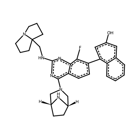 Oc1cc(-c2ccc3c(N4C[C@H]5CC[C@@H](C4)N5)nc(NCC45CCCN4CCC5)nc3c2F)c2ccccc2c1